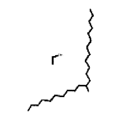 CCCCCCCCCCCCC(C)CCCCCCCCCC.CCO